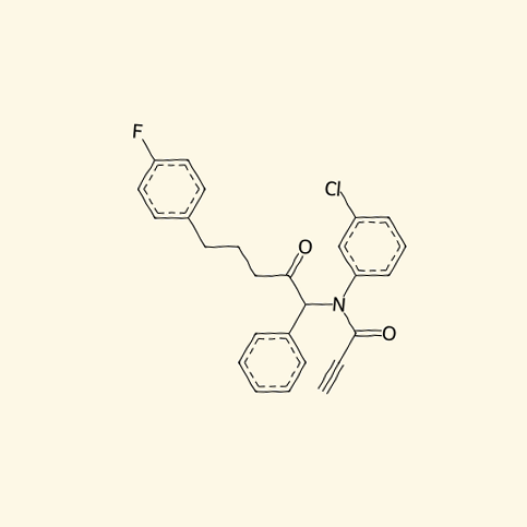 C#CC(=O)N(c1cccc(Cl)c1)C(C(=O)CCCc1ccc(F)cc1)c1ccccc1